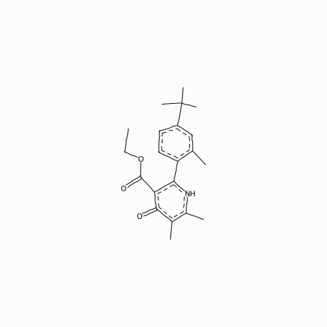 CCOC(=O)c1c(-c2ccc(C(C)(C)C)cc2C)[nH]c(C)c(C)c1=O